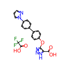 O=C(O)C(F)(F)F.O=C(O)c1[nH]nnc1Oc1ccc(-c2ccc(-n3cccn3)cc2)cc1